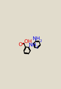 Nc1ccccc1.Nc1ccccc1C(=O)O